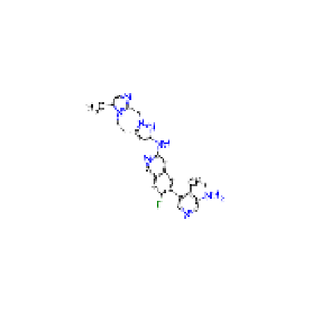 Cc1c(N)cncc1-c1cc2cc(Nc3cc4n(n3)Cc3ncc(C)n3CC4)ncc2cc1F